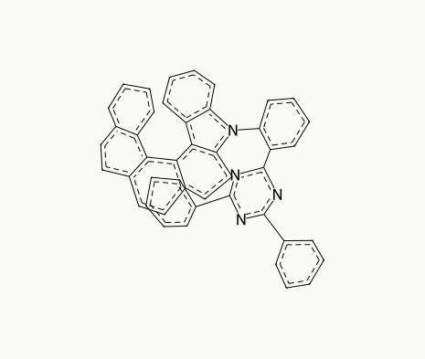 c1ccc(-c2nc(-c3ccccc3)nc(-c3ccccc3-n3c4ccccc4c4c5c(ccc6ccc7ccccc7c65)ccc43)n2)cc1